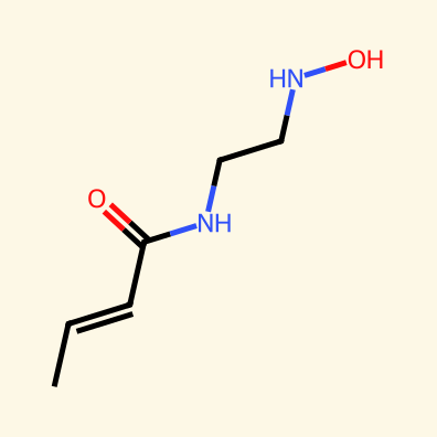 C/C=C/C(=O)NCCNO